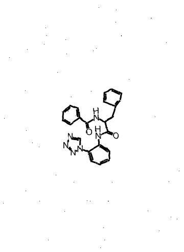 O=C(NC(Cc1ccccc1)C(=O)Nc1ccccc1-n1cnnn1)c1ccccc1